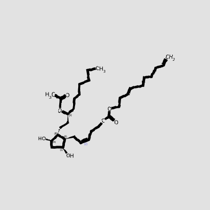 C=CCCCCCCCCOC(=O)CCC/C=C\C[C@@H]1[C@@H](CC[C@H](CCCCCCC)OC(C)=O)[C@H](O)C[C@@H]1O